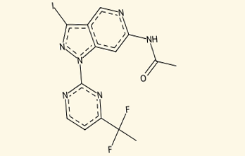 CC(=O)Nc1cc2c(cn1)c(I)nn2-c1nccc(C(C)(F)F)n1